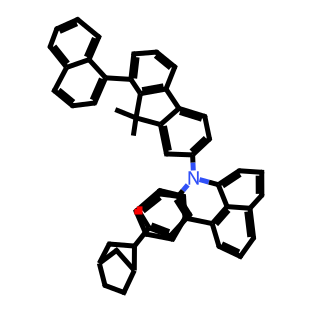 CC1(C)c2cc(N(c3ccc(C4CC5CCC4C5)cc3)c3cccc4cccc(C5CCCCC5)c34)ccc2-c2cccc(-c3cccc4ccccc34)c21